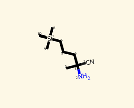 CC(N)(C#N)CCC[Si](C)(C)C